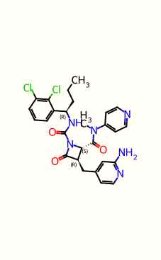 CCC[C@@H](NC(=O)N1C(=O)[C@H](Cc2ccnc(N)c2)[C@H]1C(=O)N(C)c1ccncc1)c1cccc(Cl)c1Cl